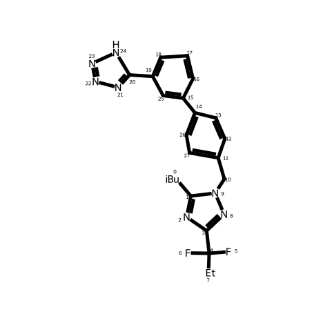 CCC(C)c1nc(C(F)(F)CC)nn1Cc1ccc(-c2cccc(-c3nnn[nH]3)c2)cc1